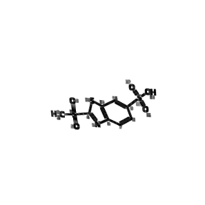 CS(=O)(=O)c1nc2ccc(S(=O)(=O)O)cc2s1